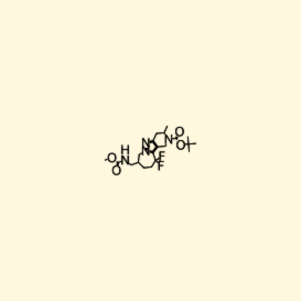 COC(=O)NCC1CCC(F)(F)c2c3c(nn2C1)CC(C)N(C(=O)OC(C)(C)C)C3